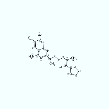 CC(=O)c1cc2nc(N(C)CCCN(C)C(=O)C3CCCO3)nc(N)c2cc1C(C)=O